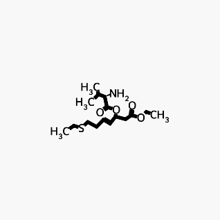 CCOC(=O)CC(/C=C/CCSCC)OC(=O)[C@@H](N)C(C)C